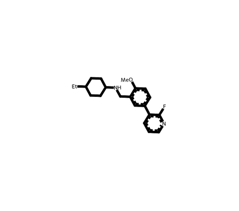 CCC1CCC(NCc2cc(-c3cccnc3F)ccc2OC)CC1